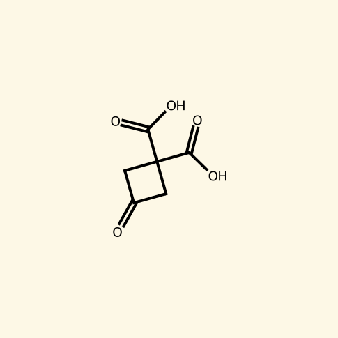 O=C1CC(C(=O)O)(C(=O)O)C1